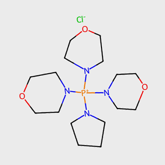 C1CCN([P+](N2CCOCC2)(N2CCOCC2)N2CCOCC2)C1.[Cl-]